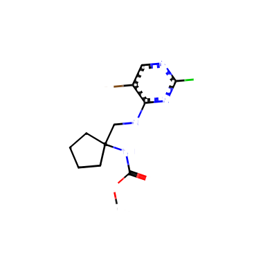 CC(C)(C)OC(=O)NC1(CNc2nc(Cl)ncc2Br)CCCC1